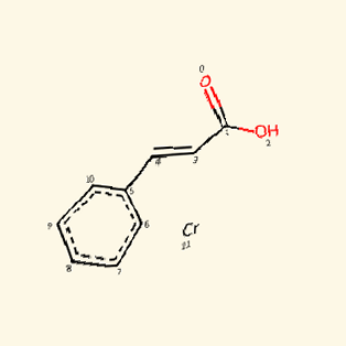 O=C(O)/C=C/c1ccccc1.[Cr]